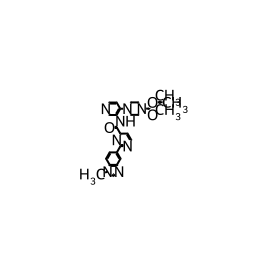 Cn1cnc2cc(-c3nccc(C(=O)Nc4cnccc4N4CCN(C(=O)OC(C)(C)C)CC4)n3)ccc21